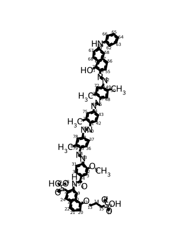 COc1cc(C(=O)Nc2cc3c(OCCCS(=O)(=O)O)cccc3cc2S(=O)(=O)O)ccc1N=Nc1ccc(N=Nc2ccc(N=Nc3cc(C)c(N=Nc4ccc5cc(Nc6ccccc6)ccc5c4O)cc3C)cc2C)cc1C